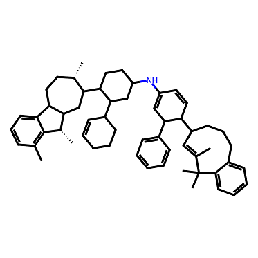 C/C1=C\C(C2C=CC(NC3CCC(C4CC5C(CC[C@@H]4C)c4cccc(C)c4[C@H]5C)C(C4C=CCCC4)C3)=CC2c2ccccc2)CCCc2ccccc2C1(C)C